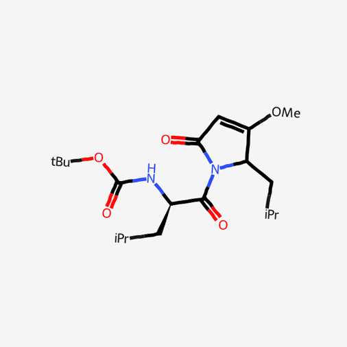 COC1=CC(=O)N(C(=O)[C@@H](CC(C)C)NC(=O)OC(C)(C)C)C1CC(C)C